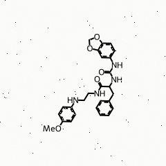 COc1ccc(NCCNC(=O)C(Cc2ccccc2)NC(=O)Nc2ccc3c(c2)OCO3)cc1